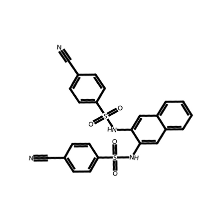 N#Cc1ccc(S(=O)(=O)Nc2cc3ccccc3cc2NS(=O)(=O)c2ccc(C#N)cc2)cc1